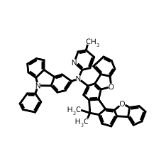 Cc1ccc(N(c2ccc3c(c2)c2ccccc2n3-c2ccccc2)c2cc3c(c4oc5ccccc5c24)-c2c(ccc4c2oc2ccccc24)C3(C)C)nc1